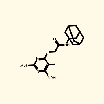 COc1nc(SC)nc(OCC(=O)NC23CC4CC(CC(C4)C2)C3)c1F